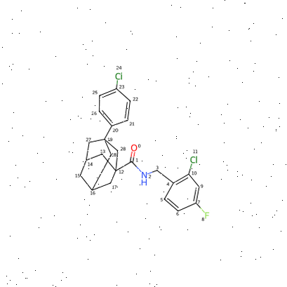 O=C(NCc1ccc(F)cc1Cl)C12CC3CC(C1)CC(c1ccc(Cl)cc1)(C3)C2